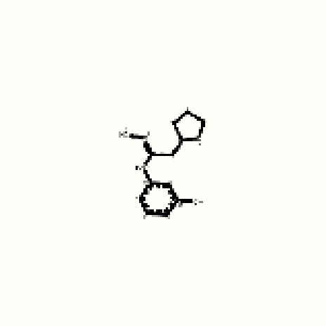 O/N=C(/CC1CCCO1)Nc1cccc(Cl)c1